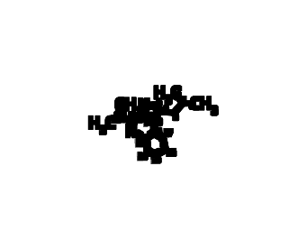 CC(C)Cc1cnc2c(N(C)C)nc3ccccc3n12